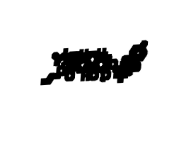 CCCCOC(=O)[C@@H]1[C@@](C)([C@H](C)C(C)C)CC[C@]2(C)[C@H]3CC[C@H]4C(C)(C)[C@@H](OC[C@](C)(N(C)S(=O)(=O)c5ccc(C)cc5)C(C)(C)C)[C@H](OC)C[C@]4(CO)C3=CC[C@@]12C